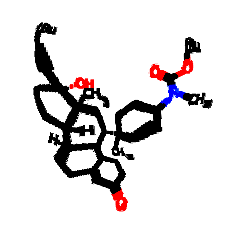 CN(C(=O)OC(C)(C)C)C1=CCC(C)([C@H]2C[C@@]3(C)[C@@H](CC[C@@]3(O)C#CC(C)(C)C)[C@@H]3CCC4=CC(=O)CCC4=C32)C=C1